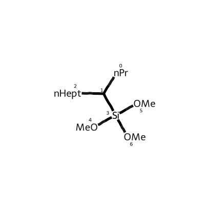 [CH2]CCC(CCCCCCC)[Si](OC)(OC)OC